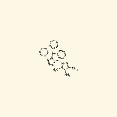 Cc1nn(Cc2nnnn2C(c2ccccc2)(c2ccccc2)c2ccccc2)c(C)c1N